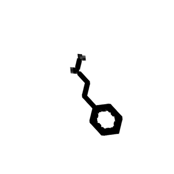 [Eu][PH]CCc1ccccc1